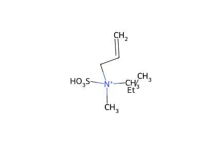 C=CC[N+](C)(C)S(=O)(=O)O.CCC